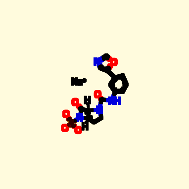 O=C(Nc1cccc(-c2cnco2)c1)N1CC[C@@H]2[C@H]1C(=O)N2S(=O)(=O)[O-].[Na+]